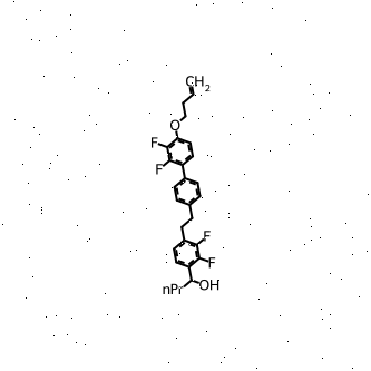 C=CCCOc1ccc(-c2ccc(CCc3ccc(C(O)CCC)c(F)c3F)cc2)c(F)c1F